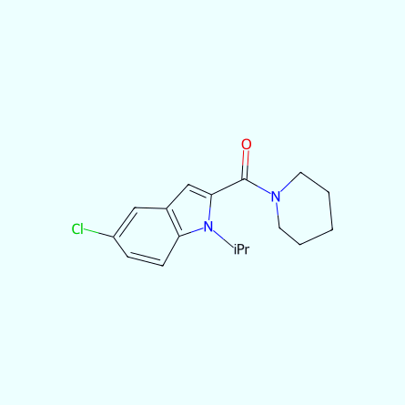 CC(C)n1c(C(=O)N2CCCCC2)cc2cc(Cl)ccc21